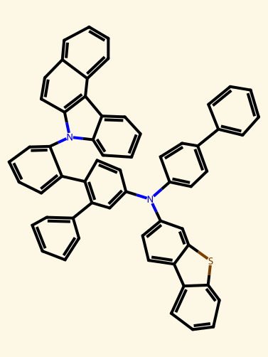 c1ccc(-c2ccc(N(c3ccc(-c4ccccc4-n4c5ccccc5c5c6ccccc6ccc54)c(-c4ccccc4)c3)c3ccc4c(c3)sc3ccccc34)cc2)cc1